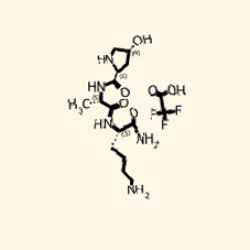 C[C@H](NC(=O)[C@@H]1C[C@@H](O)CN1)C(=O)N[C@@H](CCCCN)C(N)=O.O=C(O)C(F)(F)F